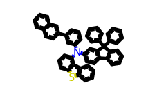 c1ccc(C2(c3ccccc3)c3ccccc3-c3ccc(N(c4cccc(-c5ccc6ccccc6c5)c4)c4cccc5sc6ccccc6c45)cc32)cc1